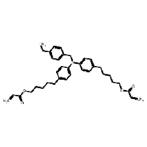 C=CC(=O)OCCCCCc1ccc(N(Cc2ccc(CC)cc2)c2ccc(CCCCCOC(=O)C=C)cc2)cc1